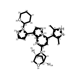 Cc1n[nH]c(C)c1-c1cc(N2C[C@@H]3C[C@H]2CO3)nc2c(-c3ccnn3C3CCCCO3)cnn12